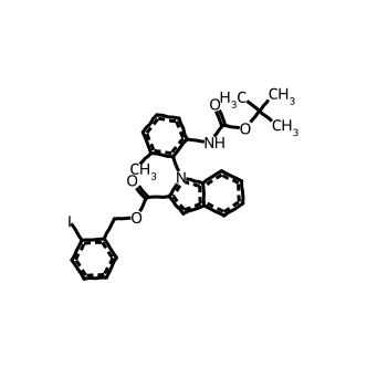 Cc1cccc(NC(=O)OC(C)(C)C)c1-n1c(C(=O)OCc2ccccc2I)cc2ccccc21